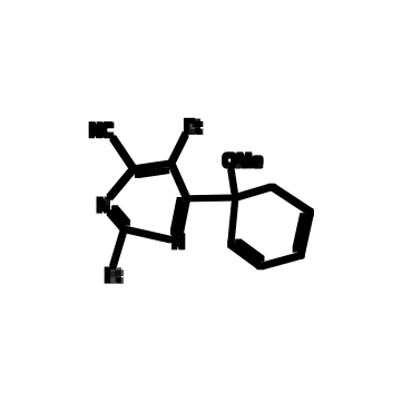 CCc1nc(C#N)c(CC)c(C2(OC)C=CC=CC2)n1